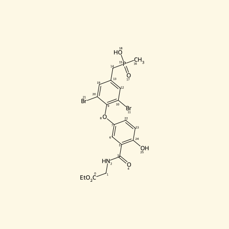 CCOC(=O)CNC(=O)c1cc(Oc2c(Br)cc(CP(C)(=O)O)cc2Br)ccc1O